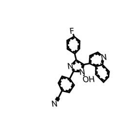 N#Cc1ccc(-c2nc(-c3ccc(F)cc3)c(-c3ccnc4ccccc34)n2O)cc1